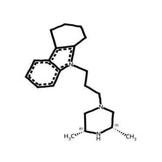 C[C@@H]1CN(CCCn2c3c(c4ccccc42)CCCC3)C[C@H](C)N1